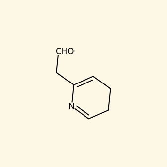 O=[C]CC1=CCCC=N1